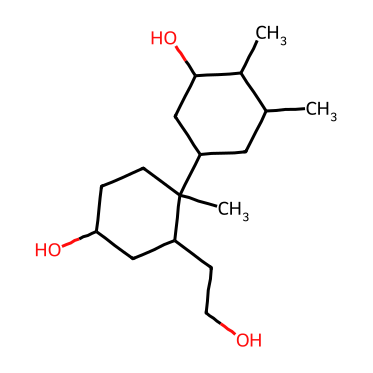 CC1CC(C2(C)CCC(O)CC2CCO)CC(O)C1C